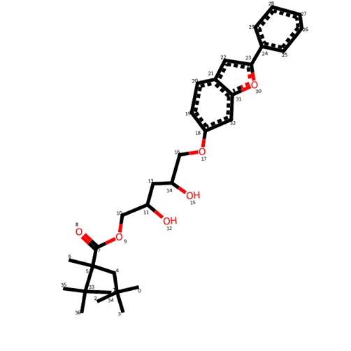 CC(C)(C)CC(C)(C(=O)OCC(O)CC(O)COc1ccc2cc(-c3ccccc3)oc2c1)C(C)(C)C